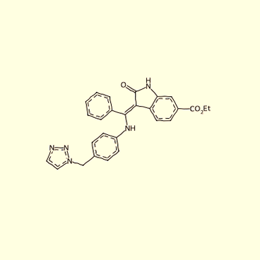 CCOC(=O)c1ccc2c(c1)NC(=O)C2=C(Nc1ccc(Cn2ccnn2)cc1)c1ccccc1